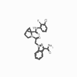 NC(=O)c1nn(CC(=O)N2CCC3CC32C(=O)Nc2cccc(Cl)c2F)c2ccccc12